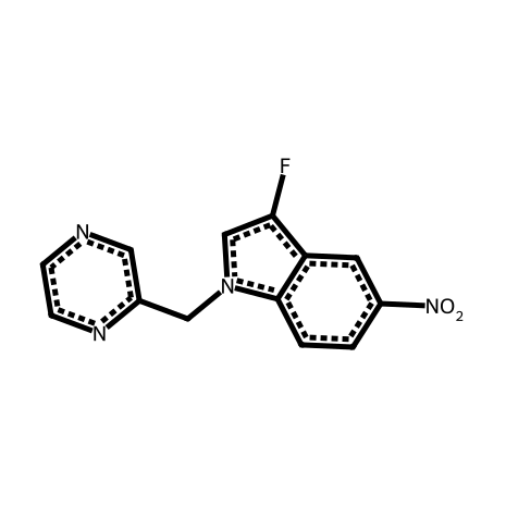 O=[N+]([O-])c1ccc2c(c1)c(F)cn2Cc1cnccn1